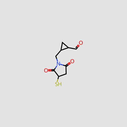 O=CC1CC1CN1C(=O)CC(S)C1=O